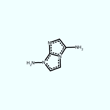 Nc1cnc2n(N)ccn12